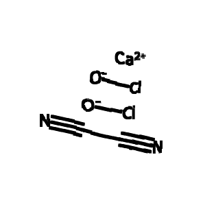 N#CC#N.[Ca+2].[O-]Cl.[O-]Cl